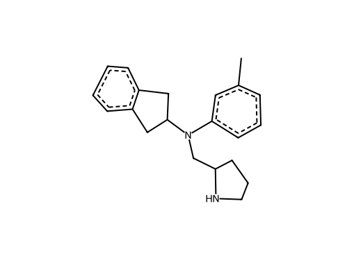 Cc1cccc(N(CC2CCCN2)C2Cc3ccccc3C2)c1